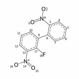 O=[N+]([O-])c1ccccc1-c1cccc([N+](=O)[O-])c1F